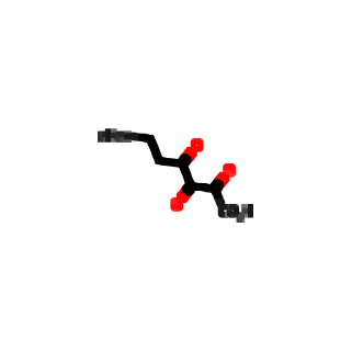 CCCCCCCCC(=O)C(=O)C(=O)C(=O)O